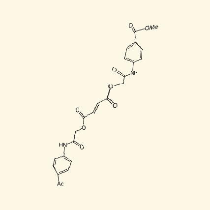 COC(=O)c1ccc(NC(=O)COC(=O)/C=C/C(=O)OCC(=O)Nc2ccc(C(C)=O)cc2)cc1